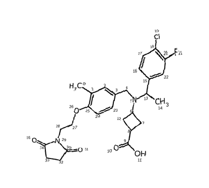 Cc1cc(CN(C2CC(C(=O)O)C2)C(C)c2ccc(Cl)c(F)c2)ccc1OCCN1C(=O)CCC1=O